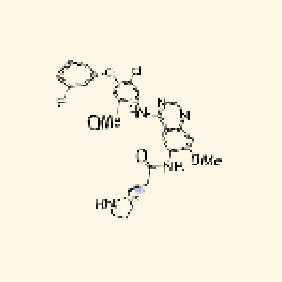 COc1cc2ncnc(Nc3cc(Cl)c(Oc4cccc(F)c4)cc3OC)c2cc1NC(=O)/C=C/[C@H]1CCCN1